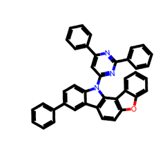 c1ccc(-c2ccc3c(c2)c2ccc4oc5ccccc5c4c2n3-c2cc(-c3ccccc3)nc(-c3ccccc3)n2)cc1